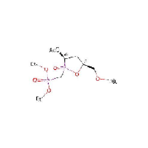 CCCCOC[C@@H]1C[C@H](OC(C)=O)P(=O)(CP(=O)(OCC)OCC)O1